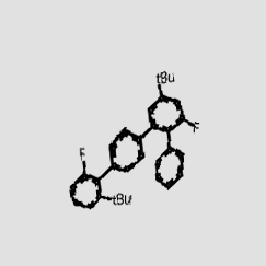 CC(C)(C)c1cc(F)c(-c2ccccc2)c(-c2ccc(-c3c(F)cccc3C(C)(C)C)cc2)c1